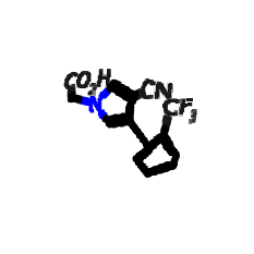 N#Cc1cn(CC(=O)O)cc1-c1ccccc1C(F)(F)F